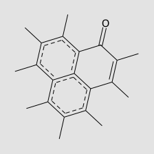 CC1=C(C)c2c(C)c(C)c(C)c3c(C)c(C)c(C)c(c23)C1=O